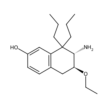 CCCC1(CCC)c2cc(O)ccc2C[C@H](OCC)[C@H]1N